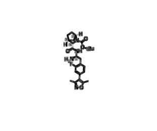 Cc1noc(C)c1-c1ccc(C[C@@H](N)NC(=O)[C@@H]2[C@H]3CC[C@H](C3)N2C(=O)OC(C)(C)C)c(F)c1